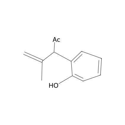 C=C(C)C(C(C)=O)c1ccccc1O